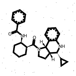 O=C(N[C@@H]1CCCC[C@@H]1C(=O)N1CC[C@H]2[C@@H](C3CC3)Nc3ccccc3[C@H]21)c1ccccc1